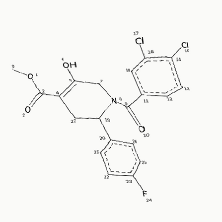 COC(=O)C1=C(O)CN(C(=O)c2ccc(Cl)c(Cl)c2)C(c2ccc(F)cc2)C1